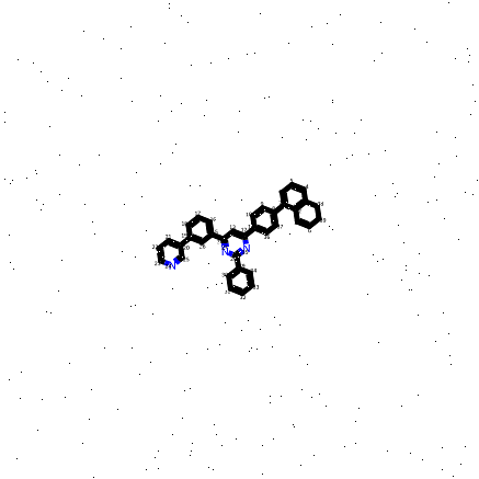 C1=Cc2c(cccc2-c2ccc(-c3cc(-c4cccc(-c5cccnc5)c4)nc(-c4ccccc4)n3)cc2)CC1